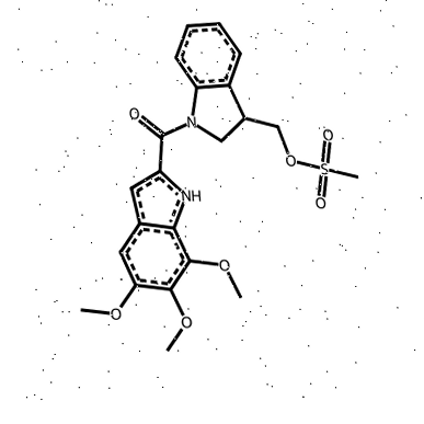 COc1cc2cc(C(=O)N3CC(COS(C)(=O)=O)c4ccccc43)[nH]c2c(OC)c1OC